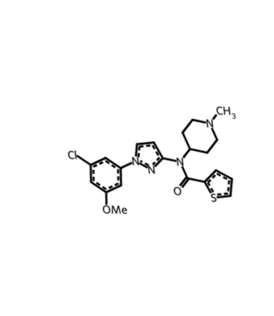 COc1cc(Cl)cc(-n2ccc(N(C(=O)c3cccs3)C3CCN(C)CC3)n2)c1